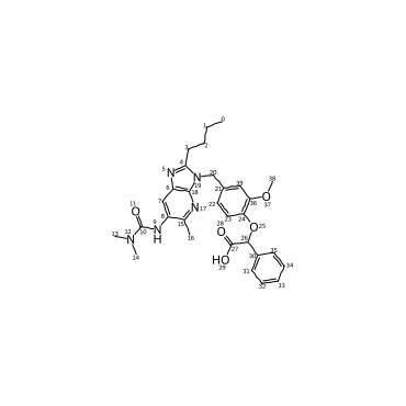 CCCCc1nc2cc(NC(=O)N(C)C)c(C)nc2n1Cc1ccc(OC(C(=O)O)c2ccccc2)c(OC)c1